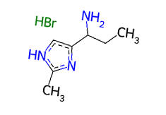 Br.CCC(N)c1c[nH]c(C)n1